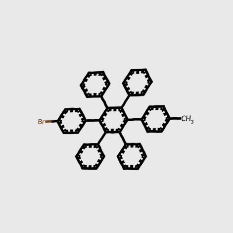 Cc1ccc(-c2c(-c3ccccc3)c(-c3ccccc3)c(-c3ccc(Br)cc3)c(-c3ccccc3)c2-c2ccccc2)cc1